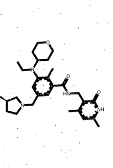 CCN(c1cc(CN2CC[C@@H](F)C2)cc(C(=O)NCc2c(C)cc(C)[nH]c2=O)c1C)C1CCOCC1